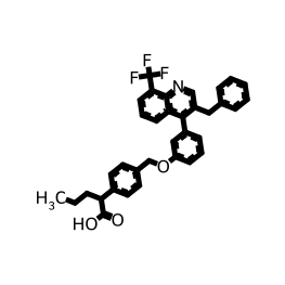 CCCC(C(=O)O)c1ccc(COc2cccc(-c3c(Cc4ccccc4)cnc4c(C(F)(F)F)cccc34)c2)cc1